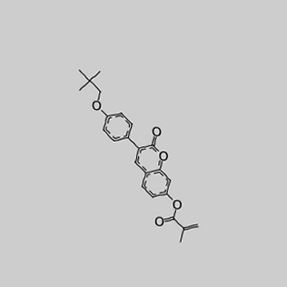 C=C(C)C(=O)Oc1ccc2cc(-c3ccc(OCC(C)(C)C)cc3)c(=O)oc2c1